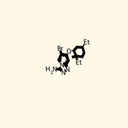 CC[C@H]1CCC(C)(CC)[C@H](Oc2cc3nnc(N)n3cc2Br)C1